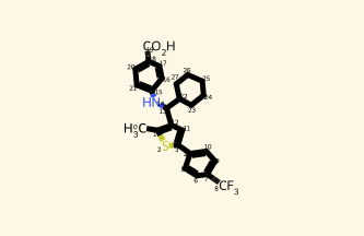 Cc1sc(-c2ccc(C(F)(F)F)cc2)cc1C(Nc1ccc(C(=O)O)cc1)C1CCCCC1